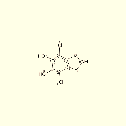 Oc1c(O)c(Cl)c2c(c1Cl)CNC2